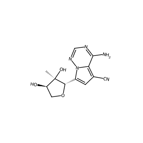 C[C@@]1(O)[C@H](O)CO[C@H]1c1cc(C#N)c2c(N)ncnn12